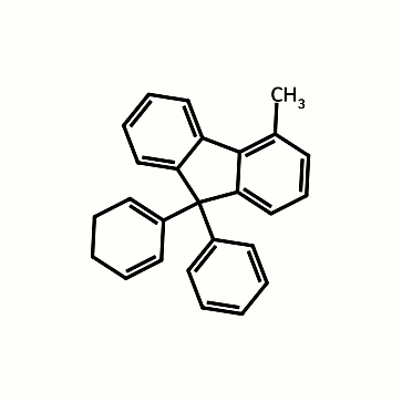 Cc1cccc2c1-c1ccccc1C2(C1=CCCC=C1)c1ccccc1